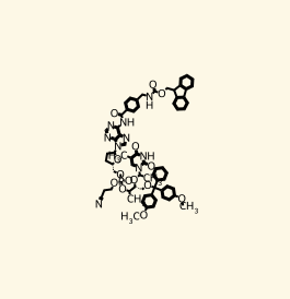 COc1ccc(C(OC[C@@H](OC(C)n2cc(C)c(=O)[nH]c2=O)C(C)OP(=O)(OCCC#N)OC[C@@H]2CCC(n3cnc4c(NC(=O)c5ccc(CNC(=O)OCC6c7ccccc7-c7ccccc76)cc5)ncnc43)O2)(c2ccccc2)c2ccc(OC)cc2)cc1